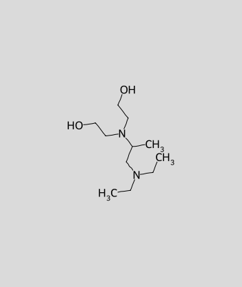 CCN(CC)CC(C)N(CCO)CCO